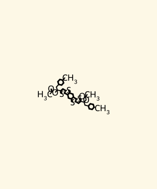 CC(=O)OC(Cc1ccc(C)cc1)c1cc2sc3cc4c(cc3c2s1)sc1cc(C(Cc2ccc(C)cc2)OC(C)=O)sc14